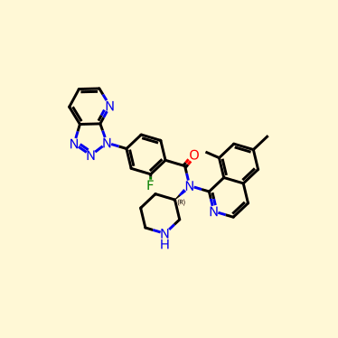 Cc1cc(C)c2c(N(C(=O)c3ccc(-n4nnc5cccnc54)cc3F)[C@@H]3CCCNC3)nccc2c1